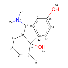 CC1CCCC(CN(C)C)C1(O)c1ccc(O)cc1